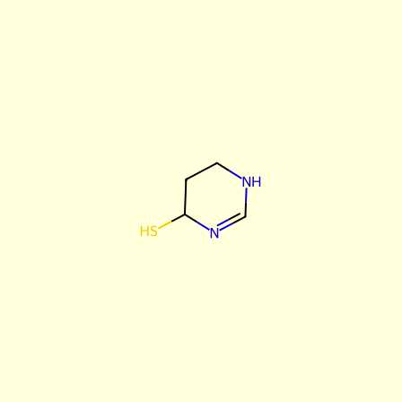 SC1CCNC=N1